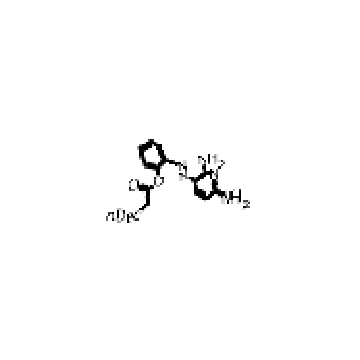 CCCCCCCCCCCC(=O)Oc1ccccc1/N=N/c1ccc(N)nc1N